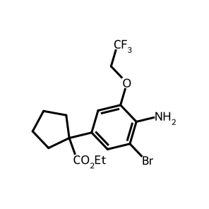 CCOC(=O)C1(c2cc(Br)c(N)c(OCC(F)(F)F)c2)CCCC1